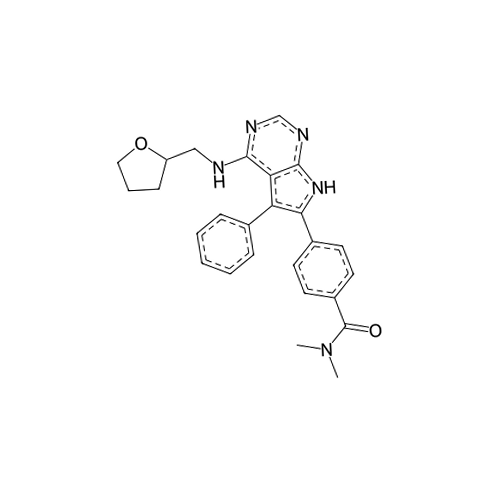 CN(C)C(=O)c1ccc(-c2[nH]c3ncnc(NCC4CCCO4)c3c2-c2ccccc2)cc1